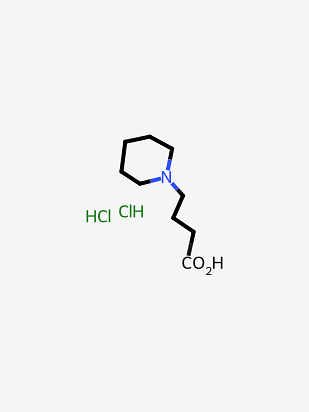 Cl.Cl.O=C(O)CCCN1CCCCC1